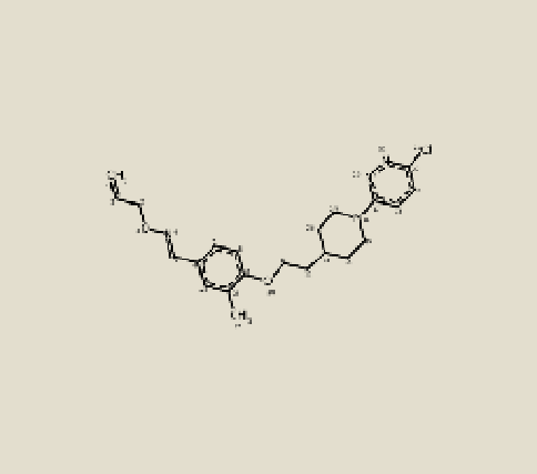 C=CCON=Cc1ccc(OCCC2CCN(c3ccc(Cl)nn3)CC2)c(C)c1